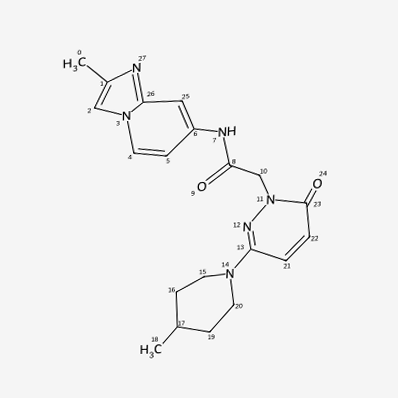 Cc1cn2ccc(NC(=O)Cn3nc(N4CCC(C)CC4)ccc3=O)cc2n1